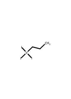 CC[CH2][V]([I])([I])[I]